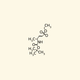 CCOS(=O)(=O)/C=C/C(C)NC(=O)OC(C)(C)C